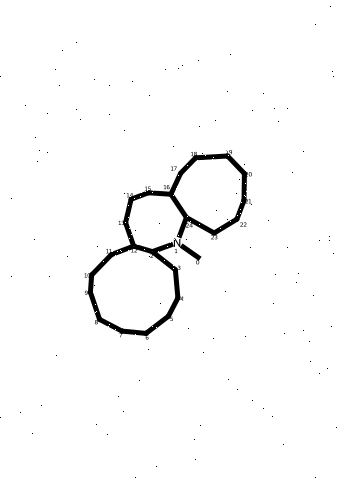 CN1C2CCCCCCCCCC2CCCC2CCCCCCCC21